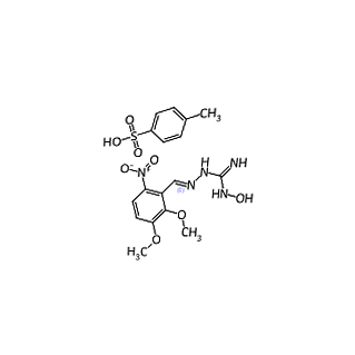 COc1ccc([N+](=O)[O-])c(/C=N/NC(=N)NO)c1OC.Cc1ccc(S(=O)(=O)O)cc1